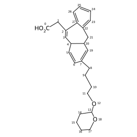 O=C(O)CC1=CC2C=CC(CCCCOC3CCCCO3)=CC2Cc2ccccc21